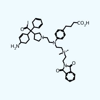 C[N+](C)(CCN1C(=O)c2ccccc2C1=O)CCN(CCN1CCC(C(C(=O)I)(C2C=CC=CC2)C2C=CC(N)CC2)C1)c1ccc(CCCC(=O)O)cc1